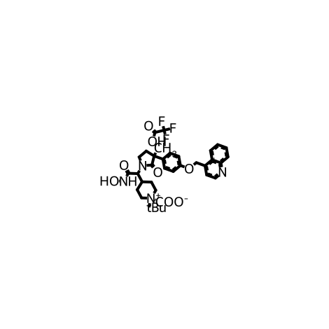 CC1(c2ccc(OCc3ccnc4ccccc34)cc2)CCN(C(C(=O)NO)C2CC[N+](C(=O)[O-])(C(C)(C)C)CC2)C1=O.O=C(O)C(F)(F)F